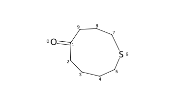 O=C1CCCCSCCC1